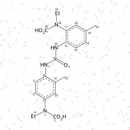 CCN(C(=O)O)c1ccc(NC(=O)Nc2ccc(C)cc2N(CC)C(=O)O)c(C)c1